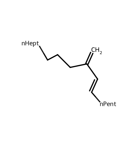 C=C(C=CCCCCC)CCCCCCCCCC